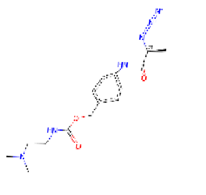 C[C@H](N=[N+]=[N-])C(=O)Nc1ccc(COC(=O)NCCN(C)C)cc1